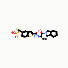 CC(C)(C)[C@H](NC(=O)c1cc2cc(C(F)(F)P(=O)(O)O)ccc2s1)C(=O)N1Cc2ccccc2C1